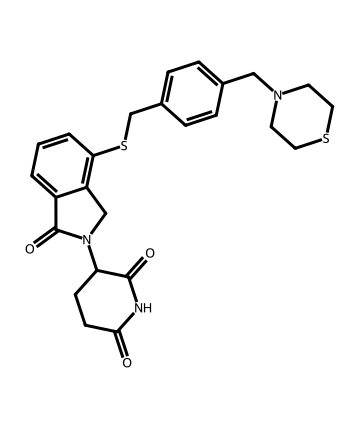 O=C1CCC(N2Cc3c(SCc4ccc(CN5CCSCC5)cc4)cccc3C2=O)C(=O)N1